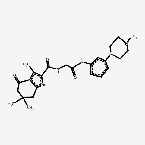 Cc1c(C(=O)NCC(=O)Nc2cccc(N3CCN(C)CC3)c2)[nH]c2c1C(=O)CC(C)(C)C2